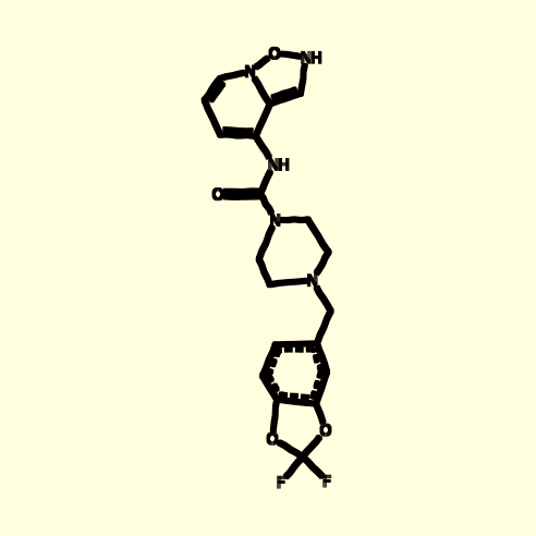 O=C(NC1=CC=CN2ONC=C12)N1CCN(Cc2ccc3c(c2)OC(F)(F)O3)CC1